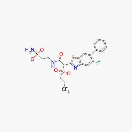 NS(=O)(=O)CCNC(=O)C(c1nc2cc(F)c(-c3ccccc3)cc2s1)S(=O)(=O)CCC(F)(F)F